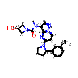 Bc1cccc(C2CCCN2c2ccn3ncc(N(C)C(=O)N4CC(O)C4)c3n2)c1